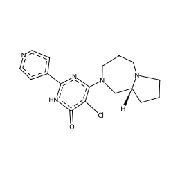 O=c1[nH]c(-c2ccncc2)nc(N2CCCN3CCC[C@@H]3C2)c1Cl